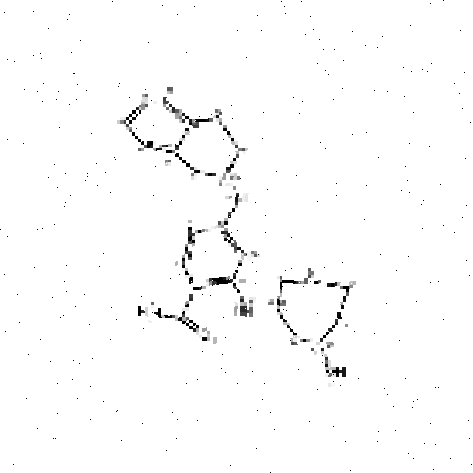 NC(=O)c1cnc(N[C@H]2CCc3ncccc3C2)nc1N[C@@H]1CCCC[C@H](O)C1